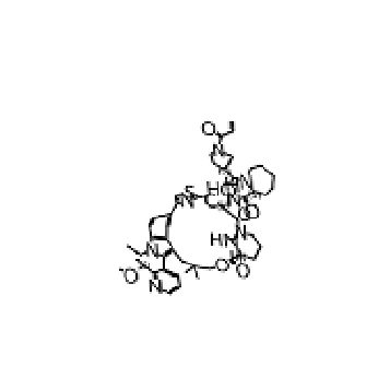 C=CC(=O)N1CC[C@H](C(O)N2CCCCC[C@H]2C(=O)N[C@H]2Cc3nc(cs3)-c3ccc4c(c3)c(c(-c3cccnc3[C@H](C)OC)n4CC)CC(C)(C)COC(=O)[C@@H]3CCCN(N3)C2=O)C1